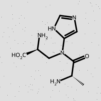 C[C@H](N)C(=O)N(C[C@H](N)C(=O)O)c1cnc[nH]1